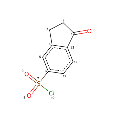 O=C1CCc2cc(S(=O)(=O)Cl)ccc21